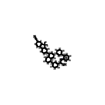 CC1(C)c2cc(C#N)ccc2-c2ccc(-c3cccc4c(-c5cccc(C(=N)/N=c6\[nH]cccc6-c6ccccc6)c5)cccc34)cc21